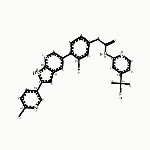 C=C(Cc1ccc(-c2cnc3[nH]c(-c4ccc(C)nc4)cc3c2)c(F)c1)Nc1cc(C(C)(C)F)ccn1